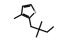 CCC(C)(C)Cc1sccc1C